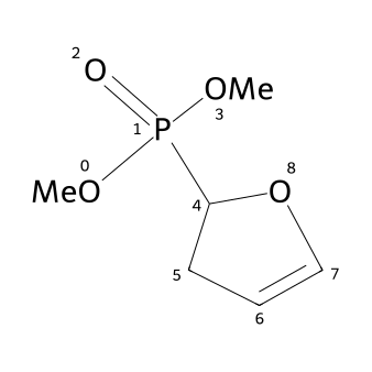 COP(=O)(OC)C1CC=CO1